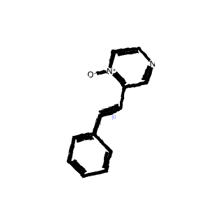 [O-][n+]1ccncc1/C=C/c1ccccc1